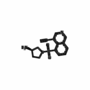 C#Cc1cncc2cccc(S(=O)(=O)N3CC[C@@H](N)C3)c12